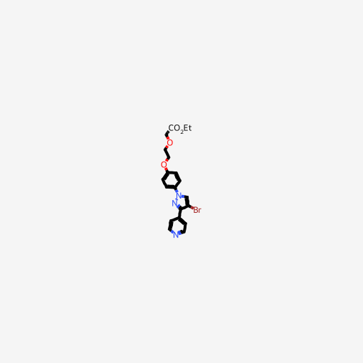 CCOC(=O)COCCOc1ccc(-n2cc(Br)c(-c3ccncc3)n2)cc1